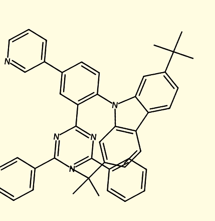 CC(C)(C)c1ccc2c3ccc(C(C)(C)C)cc3n(-c3ccc(-c4cccnc4)cc3-c3nc(-c4ccccc4)nc(-c4ccccc4)n3)c2c1